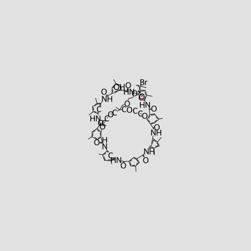 Cc1cc2cc(c1)C(=O)Nc1cc(c(C)cc1C)NC(=O)c1cc(C)cc3c1OCCOCC(C)(COCCOC(=O)C(C)(C)Br)COCCOc1c(cc(C)cc1C(=O)Nc1cc(c(C)cc1C)NC(=O)c1cc(C)cc(c1O)C(=O)Nc1cc(c(C)cc1C)NC3=O)C(=O)Nc1cc(c(C)cc1C)NC2=O